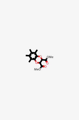 COC(=O)C1Oc2c(C)c(C)c(C)c(C)c2OC1C(=O)OC